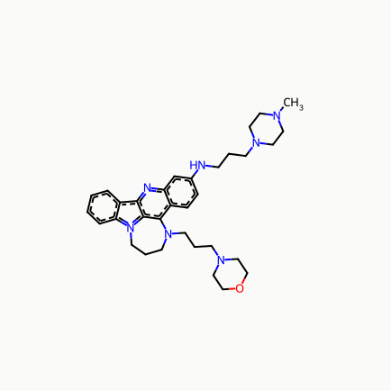 CN1CCN(CCCNc2ccc3c4c5c(nc3c2)c2ccccc2n5CCCN4CCCN2CCOCC2)CC1